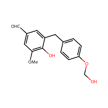 COc1cc(C=O)cc(Cc2ccc(OCO)cc2)c1O